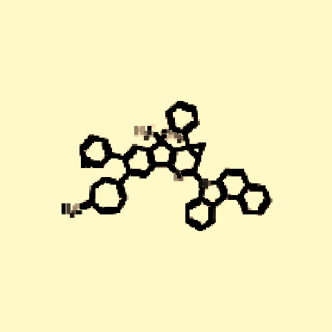 C=C1C=CC=C(c2cc3c(cc2-c2cccnc2)C(C)(C)C2=C3N=C(n3c4ccccc4c4c5ccccc5ccc43)C3CC23c2ccccc2)CC1